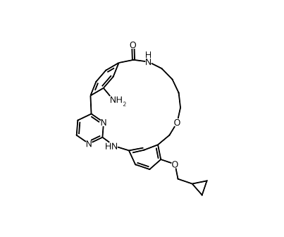 Nc1cc2ccc1-c1ccnc(n1)Nc1ccc(OCC3CC3)c(c1)COCCCCNC2=O